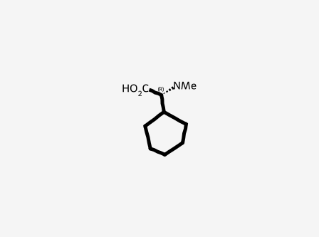 CN[C@@H](C(=O)O)C1CCCCC1